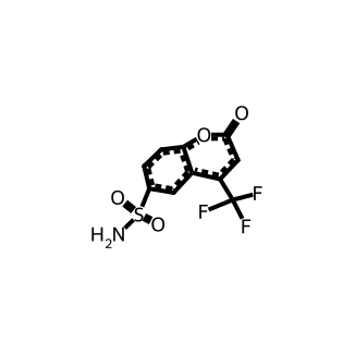 NS(=O)(=O)c1ccc2oc(=O)cc(C(F)(F)F)c2c1